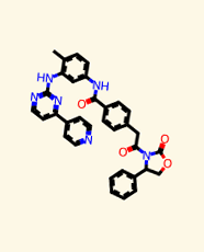 Cc1ccc(NC(=O)c2ccc(CC(=O)N3C(=O)OCC3c3ccccc3)cc2)cc1Nc1nccc(-c2ccncc2)n1